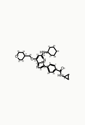 O=C(NC1CC1)c1ccc(-c2cnc3c(OCC4CCOCC4)cc(NC4CCCCC4)nn23)cc1